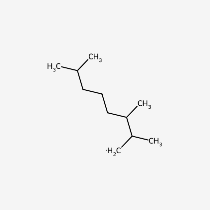 [CH2]C(C)C(C)CCCC(C)C